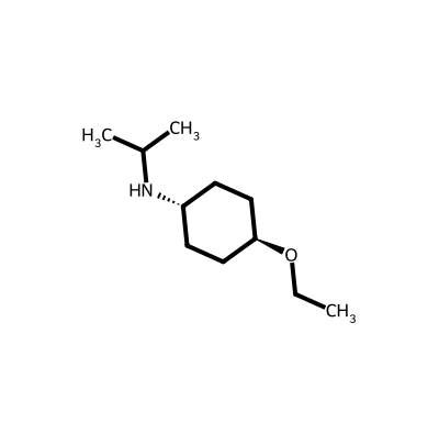 CCO[C@H]1CC[C@H](NC(C)C)CC1